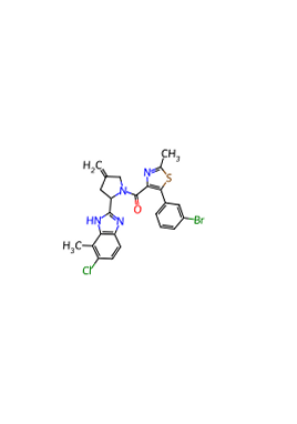 C=C1CC(c2nc3ccc(Cl)c(C)c3[nH]2)N(C(=O)c2nc(C)sc2-c2cccc(Br)c2)C1